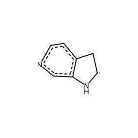 [CH]1Cc2ccncc2N1